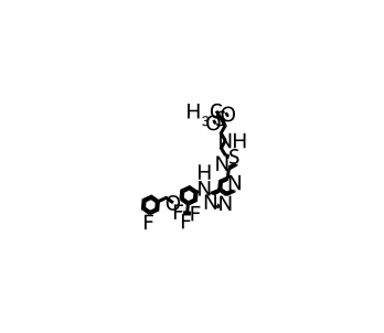 CS(=O)(=O)CCNCc1nc(-c2cc3c(Nc4ccc(OCc5cccc(F)c5)c(C(F)(F)F)c4)ncnc3cn2)cs1